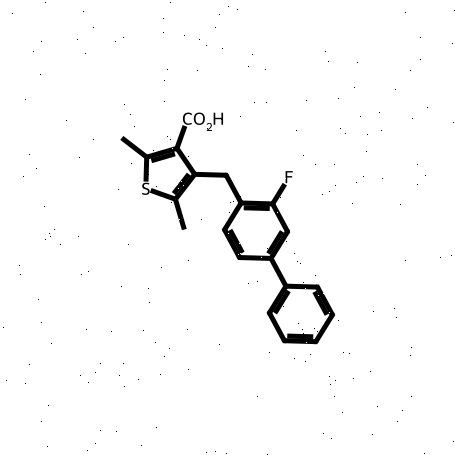 Cc1sc(C)c(C(=O)O)c1Cc1ccc(-c2ccccc2)cc1F